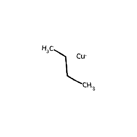 CCCC.[Cu]